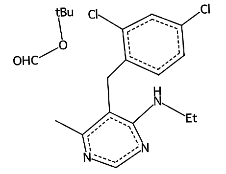 CC(C)(C)OC=O.CCNc1ncnc(C)c1Cc1ccc(Cl)cc1Cl